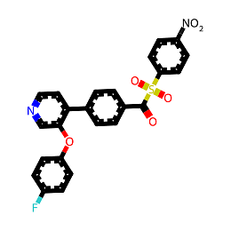 O=C(c1ccc(-c2ccncc2Oc2ccc(F)cc2)cc1)S(=O)(=O)c1ccc([N+](=O)[O-])cc1